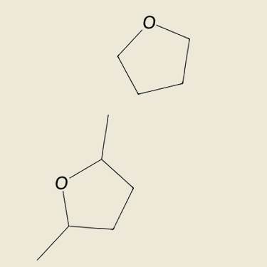 C1CCOC1.CC1CCC(C)O1